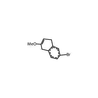 COC1=CCc2cc(Br)ccc2[CH]1